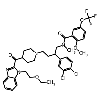 CCOCCn1c(C(=O)C2CCN(CCC(CN(C)C(=O)c3cc(OC(F)(F)F)ccc3OC)c3ccc(Cl)c(Cl)c3)CC2)nc2ccccc21